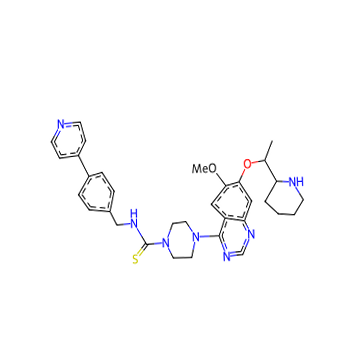 COc1cc2c(N3CCN(C(=S)NCc4ccc(-c5ccncc5)cc4)CC3)ncnc2cc1OC(C)C1CCCCN1